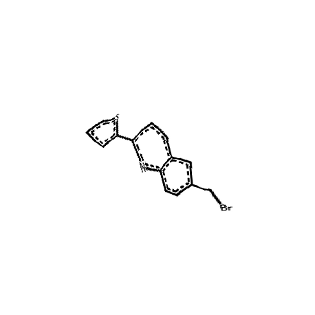 BrCc1ccc2nc(-c3cccs3)ccc2c1